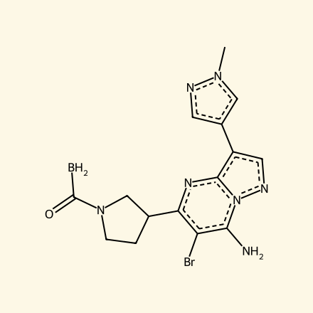 BC(=O)N1CCC(c2nc3c(-c4cnn(C)c4)cnn3c(N)c2Br)C1